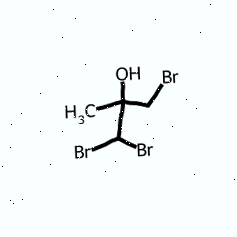 CC(O)(CBr)C(Br)Br